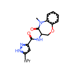 CCCc1cc(C(=O)NC2COc3ccccc3N(C)C2=O)n[nH]1